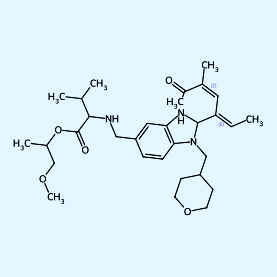 C/C=C(\C=C(\C)C(C)=O)C1Nc2cc(CNC(C(=O)OC(C)COC)C(C)C)ccc2N1CC1CCOCC1